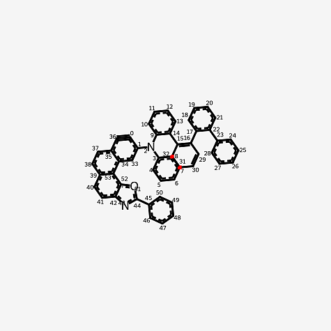 c1c(N(c2ccccc2)c2ccccc2C2=C(c3ccccc3-c3ccccc3)C=CCC2)cc2c(c#1)ccc1ccc3nc(-c4ccccc4)oc3c12